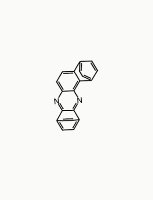 c1cc2ccc1c1ccc3nc4c5ccc(cc5)c4nc3c21